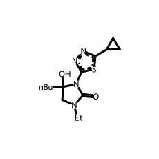 CCCCC1(O)CN(CC)C(=O)N1c1nnc(C2CC2)s1